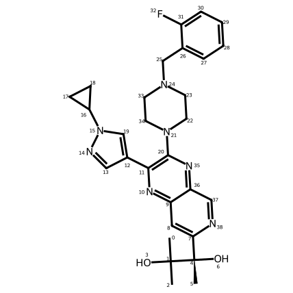 CC(C)(O)[C@@](C)(O)c1cc2nc(-c3cnn(C4CC4)c3)c(N3CCN(Cc4ccccc4F)CC3)nc2cn1